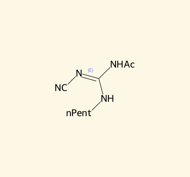 CCCCCN/C(=N\C#N)NC(C)=O